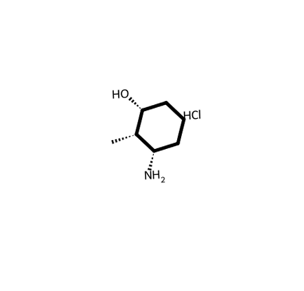 C[C@@H]1[C@H](O)CCC[C@@H]1N.Cl